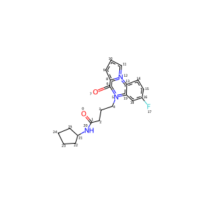 O=C(CCCn1c(=O)c2cccn2c2ccc(F)cc21)NC1CCCC1